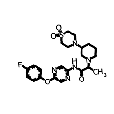 CC(C(=O)Nc1cnc(Oc2ccc(F)cc2)cn1)N1CCCC(N2CCS(=O)(=O)CC2)C1